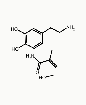 C=C(C)C(N)=O.CO.NCCc1ccc(O)c(O)c1